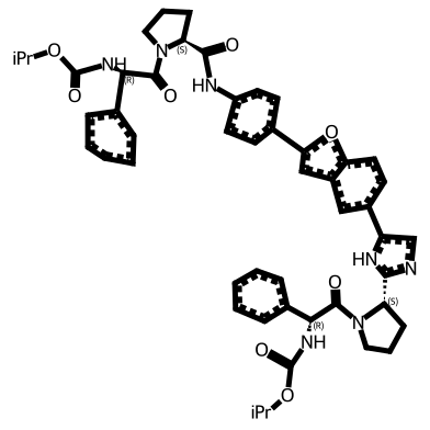 CC(C)OC(=O)N[C@@H](C(=O)N1CCC[C@H]1C(=O)Nc1ccc(-c2cc3cc(-c4cnc([C@@H]5CCCN5C(=O)[C@H](NC(=O)OC(C)C)c5ccccc5)[nH]4)ccc3o2)cc1)c1ccccc1